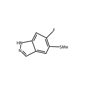 CSc1cc2cn[nH]c2cc1F